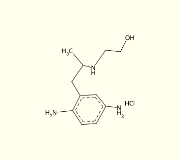 CC(Cc1cc(N)ccc1N)NCCO.Cl